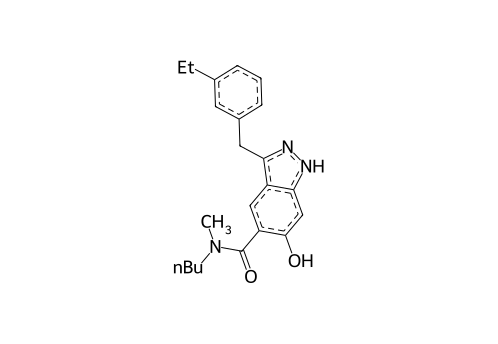 CCCCN(C)C(=O)c1cc2c(Cc3cccc(CC)c3)n[nH]c2cc1O